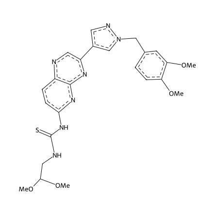 COc1ccc(Cn2cc(-c3cnc4ccc(NC(=S)NCC(OC)OC)nc4n3)cn2)cc1OC